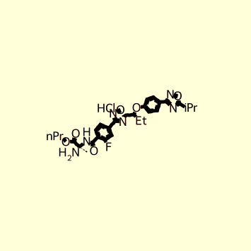 CCCOC(=O)[C@](C)(N)NC(=O)c1ccc(-c2noc(C(CC)Oc3ccc(-c4noc(C(C)C)n4)cc3)n2)cc1F.Cl